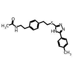 CC(=O)NCCc1ccc(CCSc2nnc(-c3ccc(C)cc3)[nH]2)cc1